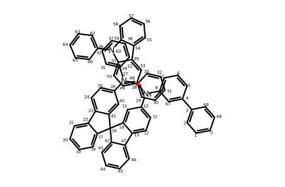 c1ccc(-c2cccc(N(c3ccc4c(c3)C3(c5ccccc5-c5ccc(N(c6ccccc6)c6ccccc6)cc53)c3ccccc3-4)c3ccc4c(c3)c3ccccc3n4-c3ccccc3)c2)cc1